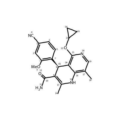 COc1cc(C#N)ccc1[C@@H]1C(C(N)=O)=C(C)Nc2c(C)cnc(OC3CC3)c21